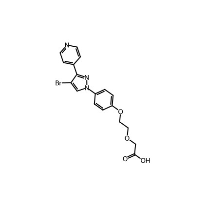 O=C(O)COCCOc1ccc(-n2cc(Br)c(-c3ccncc3)n2)cc1